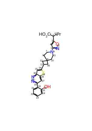 CC(C)C(C(=O)O)c1cc(N2CCC3(CC2)CC(c2cc4nnc(-c5ccccc5O)cc4s2)C3)no1